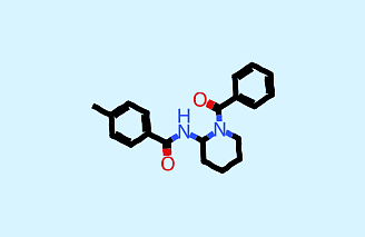 Cc1ccc(C(=O)NC2CCCCN2C(=O)c2ccccc2)cc1